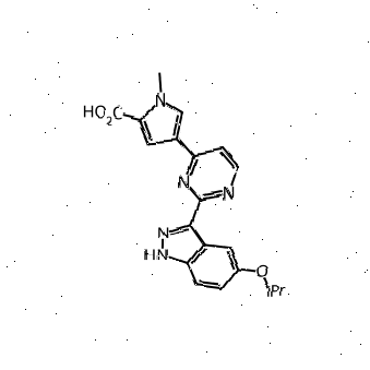 CC(C)Oc1ccc2[nH]nc(-c3nccc(-c4cc(C(=O)O)n(C)c4)n3)c2c1